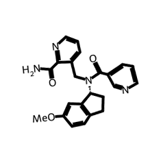 COc1ccc2c(c1)[C@H](N(Cc1cccnc1C(N)=O)C(=O)c1cccnc1)CC2